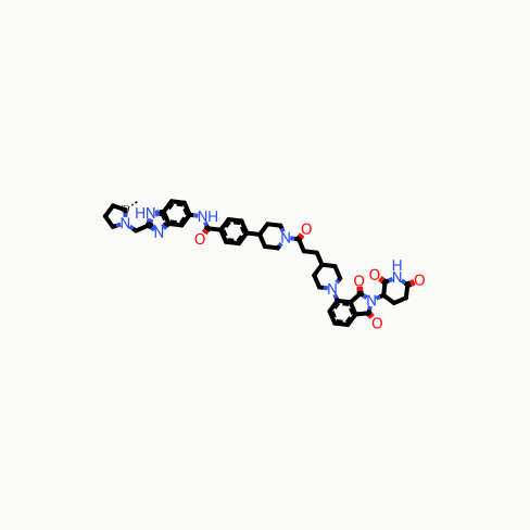 C[C@H]1CCCN1Cc1nc2cc(NC(=O)c3ccc(C4CCN(C(=O)CCC5CCN(c6cccc7c6C(=O)N(C6CCC(=O)NC6=O)C7=O)CC5)CC4)cc3)ccc2[nH]1